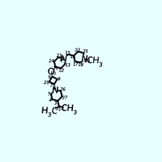 CC(C)C1CCN([C@H]2C[C@@H](OC3CCN(CC4CCN(C)CC4)CC3)C2)CC1